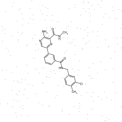 CNC(=O)c1nc(-c2cccc(C(=O)NCc3ccc(C)c(Cl)c3)c2)cnc1N